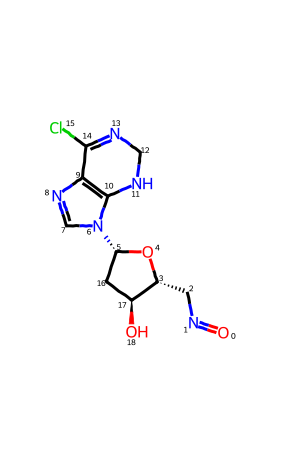 O=NC[C@H]1O[C@@H](n2cnc3c2NCN=C3Cl)C[C@@H]1O